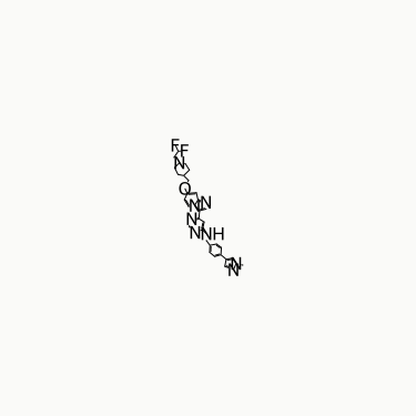 Cn1cc(-c2ccc(CNc3cc(-c4cnc5cc(OCC6CCN(CC(F)F)CC6)ccn45)ncn3)cc2)cn1